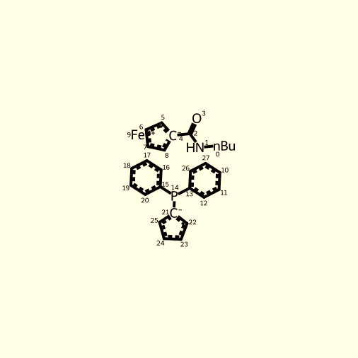 CCCCNC(=O)[c-]1cccc1.[Fe+2].c1ccc(P(c2ccccc2)[c-]2cccc2)cc1